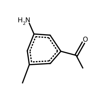 CC(=O)c1cc(C)cc(N)c1